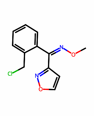 CON=C(c1ccon1)c1ccccc1CCl